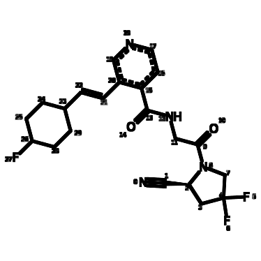 N#C[C@@H]1CC(F)(F)CN1C(=O)CNC(=O)c1ccncc1/C=C/C1CCC(F)CC1